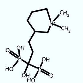 C[N+]1(C)CCCC(CCC(O)(P(=O)(O)O)P(=O)(O)O)C1